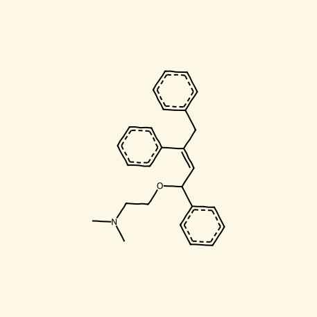 CN(C)CCOC(C=C(Cc1ccccc1)c1ccccc1)c1ccccc1